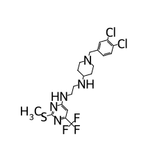 CSc1nc(NCCNC2CCN(Cc3ccc(Cl)c(Cl)c3)CC2)cc(C(F)(F)F)n1